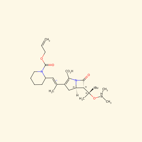 C=CCOC(=O)N1CCCCC1/C=C(\C)C1=C(C(=O)O)N2C(=O)[C@H]([C@@](C)(O[SiH](C)C)C(C)(C)C)[C@H]2C1